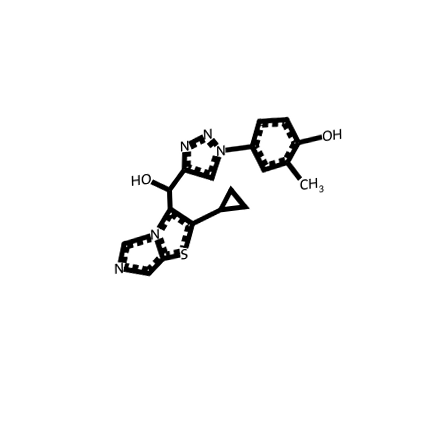 Cc1cc(-n2cc(C(O)c3c(C4CC4)sc4cncn34)nn2)ccc1O